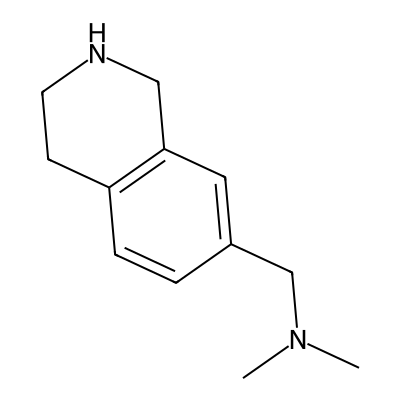 CN(C)Cc1ccc2c(c1)CNCC2